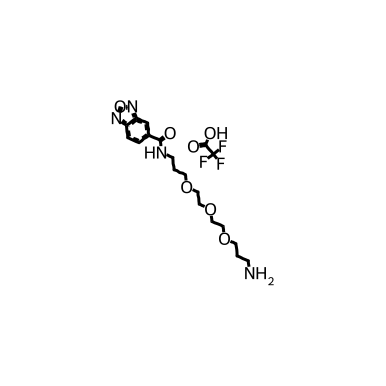 NCCCOCCOCCOCCCNC(=O)c1ccc2nonc2c1.O=C(O)C(F)(F)F